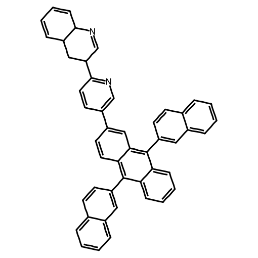 C1=CC2CC(c3ccc(-c4ccc5c(-c6ccc7ccccc7c6)c6ccccc6c(-c6ccc7ccccc7c6)c5c4)cn3)C=NC2C=C1